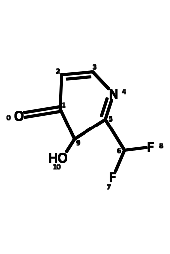 O=C1C=CN=C(C(F)F)C1O